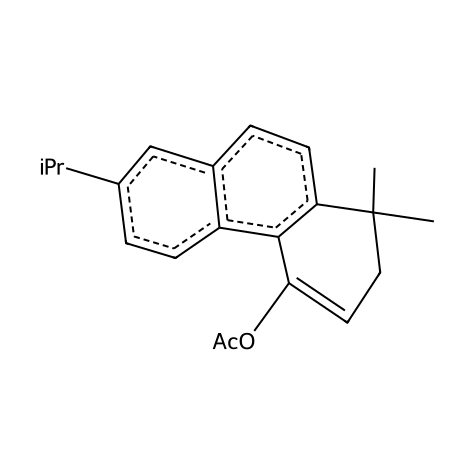 CC(=O)OC1=CCC(C)(C)c2ccc3cc(C(C)C)ccc3c21